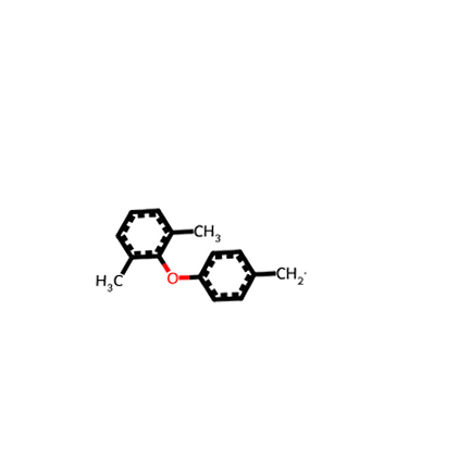 [CH2]c1ccc(Oc2c(C)cccc2C)cc1